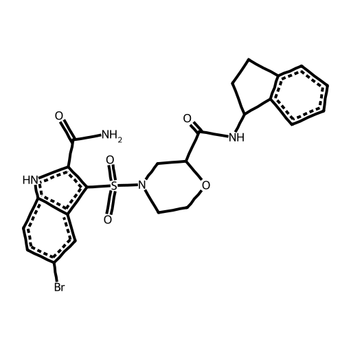 NC(=O)c1[nH]c2ccc(Br)cc2c1S(=O)(=O)N1CCOC(C(=O)NC2CCc3ccccc32)C1